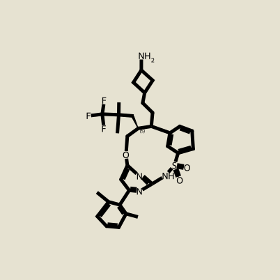 Cc1cccc(C)c1-c1cc2nc(n1)NS(=O)(=O)c1cccc(c1)C(CCC1CC(N)C1)[C@H](CC(C)(C)C(F)(F)F)CO2